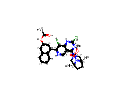 CC(C)(C)OC(=O)N1[C@@H]2CC[C@H]1CN(c1nc(Cl)nc3c(F)c(-c4cc(OC(=O)C(C)(C)C)cc5ccccc45)ncc13)C2